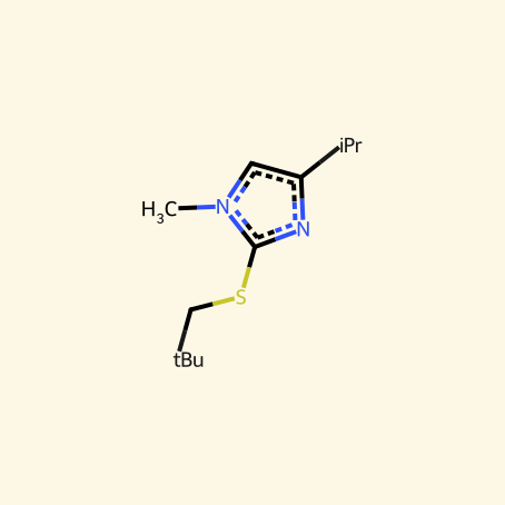 CC(C)c1cn(C)c(SCC(C)(C)C)n1